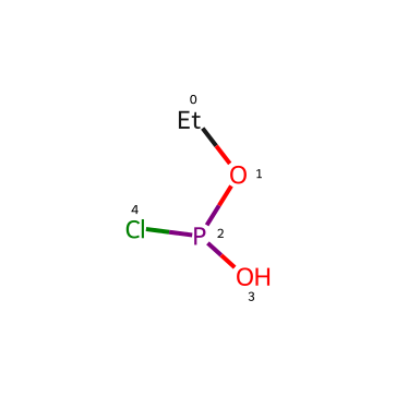 CCOP(O)Cl